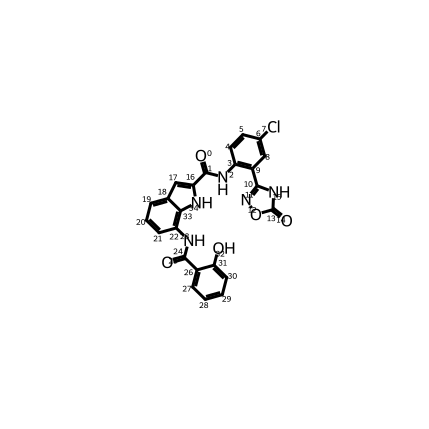 O=C(Nc1ccc(Cl)cc1-c1noc(=O)[nH]1)c1cc2cccc(NC(=O)c3ccccc3O)c2[nH]1